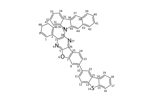 C1=CC(c2nc3oc4cc(-c5ccc6sc7ccccc7c6c5)ccc4c3nc2-n2c3ccccc3c3cc4ccccc4cc32)=CCC1